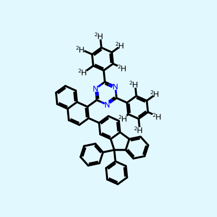 [2H]c1c([2H])c([2H])c(-c2nc(-c3c([2H])c([2H])c([2H])c([2H])c3[2H])nc(-c3c(-c4ccc5c(c4)C(c4ccccc4)(c4ccccc4)c4ccccc4-5)ccc4ccccc34)n2)c([2H])c1[2H]